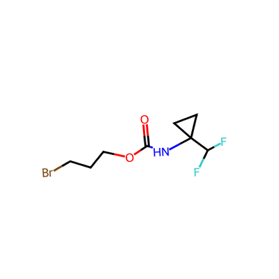 O=C(NC1(C(F)F)CC1)OCCCBr